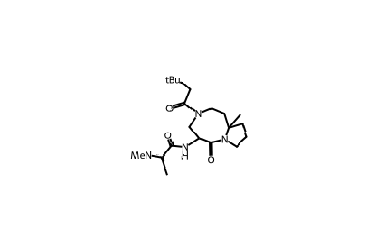 CNC(C)C(=O)NC1CN(C(=O)CC(C)(C)C)CCC2(C)CCCN2C1=O